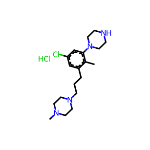 Cc1c(CCCN2CCN(C)CC2)cc(Cl)cc1N1CCNCC1.Cl